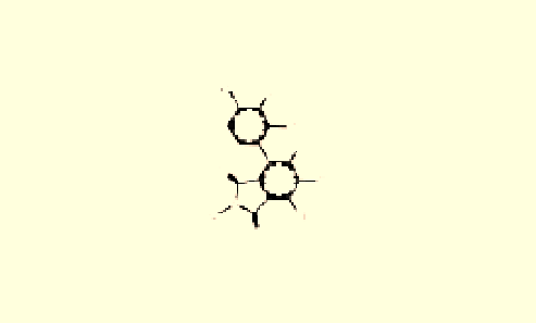 O=C1c2c(Cl)c(Cl)c(Cl)c(-c3ccc(Cl)c(Cl)c3Cl)c2C(=O)N1Cl